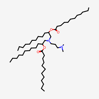 CCCCCCCCCCCC(=O)OC(CCCCCCCCCC)CN(CCCN(C)C)CC(CCCCCCCCCC)OC(=O)CCCCCCCCCCC